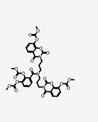 COC(=O)Oc1cccc(C(=O)N(CCCn2c(=O)oc3c(OC(=O)OC)cccc3c2=O)CCCn2c(=O)oc3c(OC(=O)OC)cccc3c2=O)c1OC(=O)OC